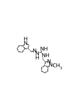 Cn1nc(CNC(=N)N/N=C/c2c[nH]c3ccccc23)c2ccccc21